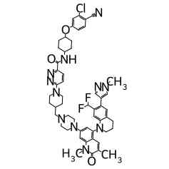 Cc1cc2c(N3CCCc4cc(-c5cnn(C)c5)c(C(F)F)cc43)cc(N3CCN(CC4CCN(c5ccc(C(=O)NC6CCC(Oc7ccc(C#N)c(Cl)c7)CC6)nn5)CC4)CC3)cc2n(C)c1=O